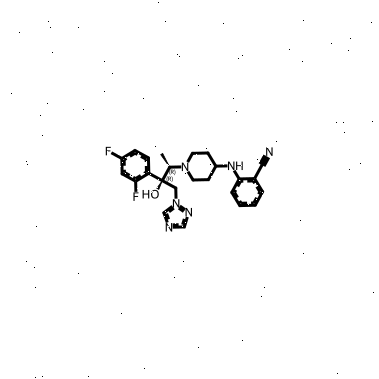 C[C@@H](N1CCC(Nc2ccccc2C#N)CC1)[C@](O)(Cn1cncn1)c1ccc(F)cc1F